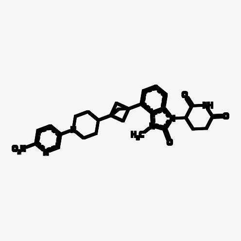 Cn1c(=O)n(C2CCC(=O)NC2=O)c2cccc(C34CC(C5CCN(c6ccc([N+](=O)[O-])nc6)CC5)(C3)C4)c21